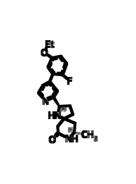 CCOc1ccc(F)c(-c2ccnc([C@H]3CCC4(CC(=O)N[C@@H](C)C4)N3)c2)c1